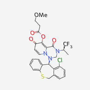 COCCC(=O)Oc1c2n(ccc1=O)N([C@@H]1c3ccccc3SCc3cccc(Cl)c31)CN([C@H](C)C(F)(F)F)C2=O